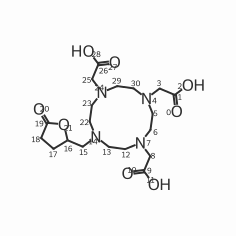 O=C(O)CN1CCN(CC(=O)O)CCN(CC2CCC(=O)O2)CCN(CC(=O)O)CC1